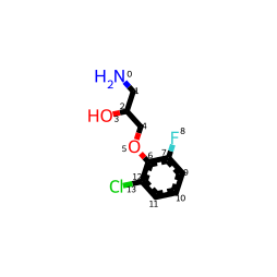 NCC(O)COc1c(F)cccc1Cl